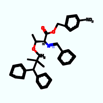 CC(O[SiH2]C(C)(C)C(c1ccccc1)c1ccccc1)[C@H](/N=C/c1ccccc1)C(=O)OCc1ccc([N+](=O)[O-])cc1